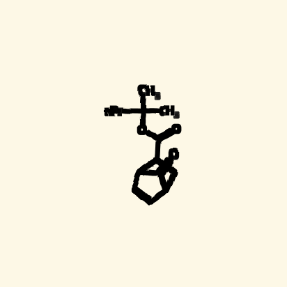 CCCC(C)(C)OC(=O)C1CC2C=CC1C2=O